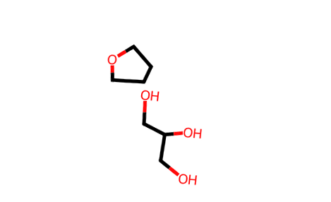 C1CCOC1.OCC(O)CO